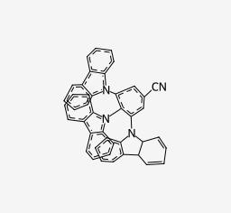 N#Cc1cc(N2c3ccccc3C3C=CC=CC32)c(-n2c3ccccc3c3ccccc32)c(-n2c3ccccc3c3ccccc32)c1